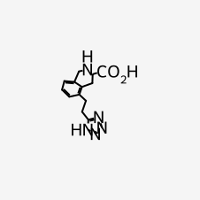 O=C(O)C1Cc2c(CCc3nnn[nH]3)cccc2CN1